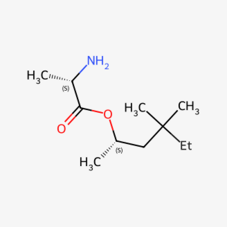 CCC(C)(C)C[C@H](C)OC(=O)[C@H](C)N